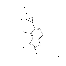 Fc1c(C2CC2)ccc2o[c]nc12